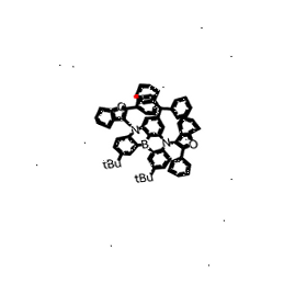 CC(C)(C)c1ccc2c(c1)B1c3cc(C(C)(C)C)ccc3N(c3c(-c4ccccc4)oc4ccccc34)c3cc(C(c4ccccc4)c4ccccc4)cc(c31)N2c1c(-c2ccccc2)oc2ccccc12